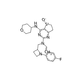 C=CN(CC1CCN1c1ccc(F)cc1)c1nc2c(c(NC3CCOCC3)n1)[S+]([O-])CC2